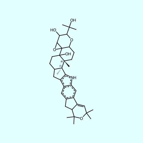 CC1(C)C=C2c3cc4[nH]c5c(c4cc3CC2C(C)(C)O1)CC1CCC2(O)C34OC3C(O)C(C(C)(C)O)OC4CC[C@]2(C)[C@@]51C